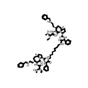 CC[C@H](NC)C(=O)N[C@@H]1C(=O)N2[C@@H](CC[C@@H]1CCNCc1ccccc1)CC[C@H]2C(=O)N[C@H](C(=O)NCCCCCCCCNC(=O)[C@@H](NC(=O)[C@@H]1CC[C@@H]2CC[C@H](CCNCc3ccccc3)[C@H](NC(=O)[C@H](CC)NC)C(=O)N21)c1ccccc1)c1ccccc1